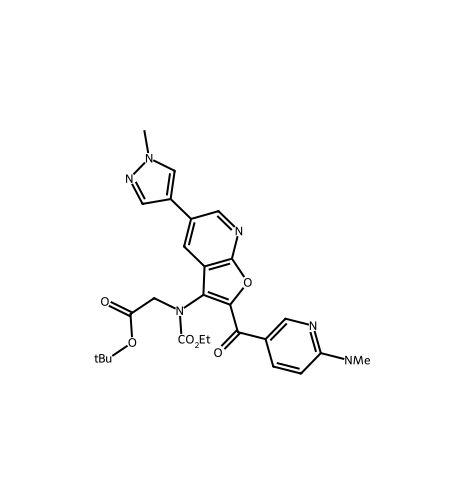 CCOC(=O)N(CC(=O)OC(C)(C)C)c1c(C(=O)c2ccc(NC)nc2)oc2ncc(-c3cnn(C)c3)cc12